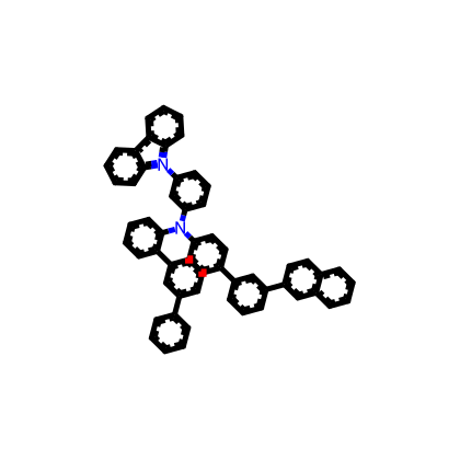 c1ccc(-c2cccc(-c3ccccc3N(c3ccc(-c4cccc(-c5ccc6ccccc6c5)c4)cc3)c3cccc(-n4c5ccccc5c5ccccc54)c3)c2)cc1